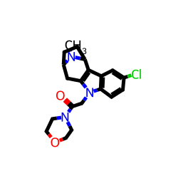 CN1C2CCC1c1c(n(CC(=O)N3CCOCC3)c3ccc(Cl)cc13)C2